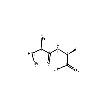 CC(C)N[C@H](C(=O)N[C@@H](C)C(=O)I)C(C)C